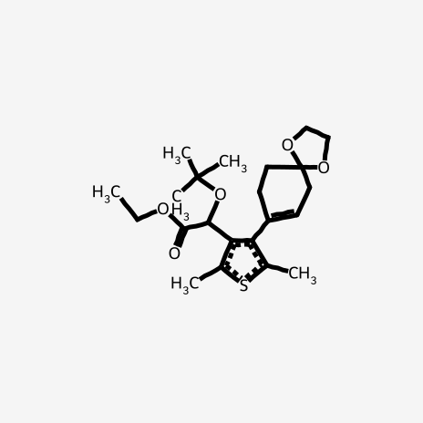 CCOC(=O)C(OC(C)(C)C)c1c(C)sc(C)c1C1=CCC2(CC1)OCCO2